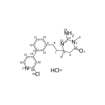 CN1C(=O)CC(C)(CCc2cccc(-c3ccnc(Cl)c3)c2)N=C1N.Cl